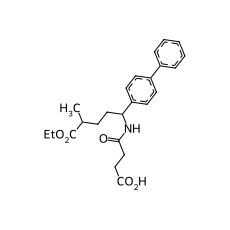 CCOC(=O)C(C)CCC(NC(=O)CCC(=O)O)c1ccc(-c2ccccc2)cc1